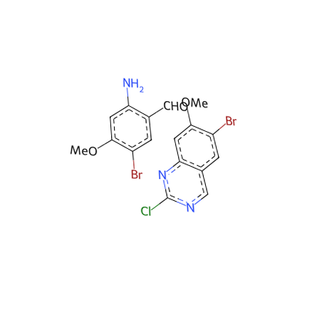 COc1cc(N)c(C=O)cc1Br.COc1cc2nc(Cl)ncc2cc1Br